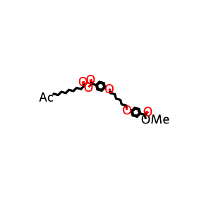 COC(=O)c1ccc(OCCCCCCOc2ccc(C(=O)OC(=O)CCCCCCCCC(C)=O)cc2)cc1